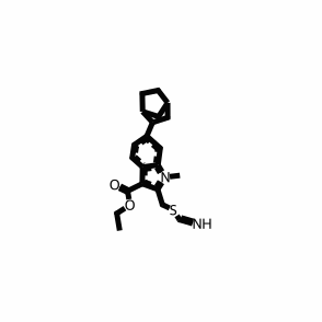 CCOC(=O)c1c(CSC=N)n(C)c2cc(C3CC4CCC3C4)ccc12